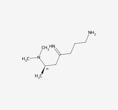 C[C@H](CC(=N)CCCN)N(C)C